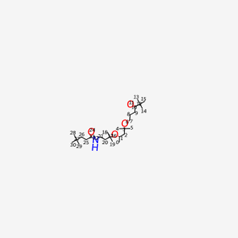 CC(CC(C)(C)OCCCC(=O)C(C)(C)C)OC(C)(C)CCNC(=O)CCC(C)(C)C